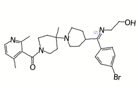 Cc1ccnc(C)c1C(=O)N1CCC(C)(N2CCC(/C(=N/CCO)c3ccc(Br)cc3)CC2)CC1